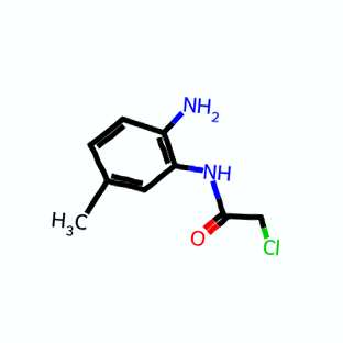 Cc1ccc(N)c(NC(=O)CCl)c1